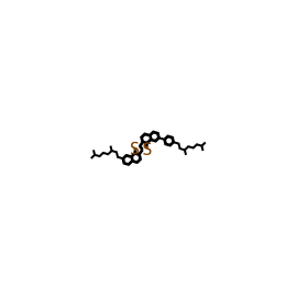 CC(C)CCCC(C)CCc1ccc(-c2ccc3ccc4c(sc5c6ccc7ccc(CCC(C)CCCC(C)C)cc7c6sc45)c3c2)cc1